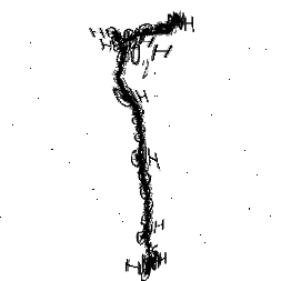 O=C(CCCC[C@H]1SC[C@H]2NC(=O)N[C@H]21)NCCOCCOCCOCCOCCC(=O)NCCOCCOCCOCCOCCC(=O)NCCCCCCO[C@]1(C(=O)O)C[C@H](O)[C@@H](NC(=O)CO)[C@H]([C@H](O)[C@H](O)CNC(=O)Cc2ccc(-c3nnn[nH]3)cc2)O1